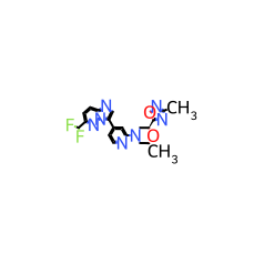 Cc1noc([C@@H]2CN(c3cc(-c4cnc5ccc(C(F)F)nn45)ccn3)C[C@H](C)O2)n1